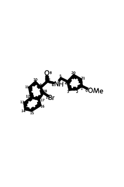 COc1ccc(CNC(=O)c2ccc3ccccc3c2Br)cc1